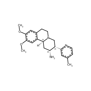 COc1cc2c(cc1OC)[C@@H]1C[C@@H](N)[C@@H](c3cc(C)ccn3)CN1CC2